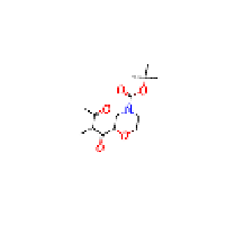 CC(=O)C(C)C(=O)C1CN(C(=O)OC(C)(C)C)CCO1